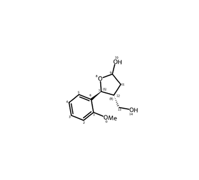 COc1ccccc1[C@H]1OC(O)C[C@@H]1CO